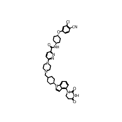 N#Cc1ccc(O[C@H]2CC[C@H](NC(=O)c3ccc(N4CCN(CC5CCC(n6ccc7c(N8CCC(=O)NC8=O)cccc76)CC5)CC4)nn3)CC2)cc1Cl